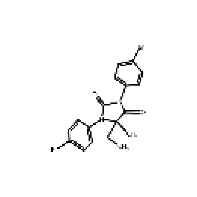 CCC1(C)C(=O)N(c2ccc(Br)cc2)C(=O)N1c1ccc(Br)cc1